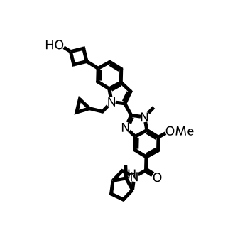 COc1cc(C(=O)N2CC3CCC2[C@@H]3C)cc2nc(-c3cc4ccc(C5CC(O)C5)cc4n3CC3CC3)n(C)c12